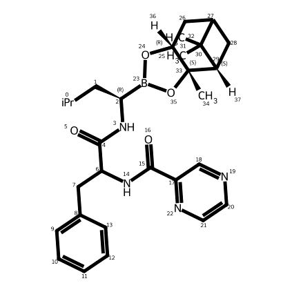 CC(C)C[C@H](NC(=O)C(Cc1ccccc1)NC(=O)c1cnccn1)B1O[C@@H]2CC3C[C@@H](C3(C)C)[C@]2(C)O1